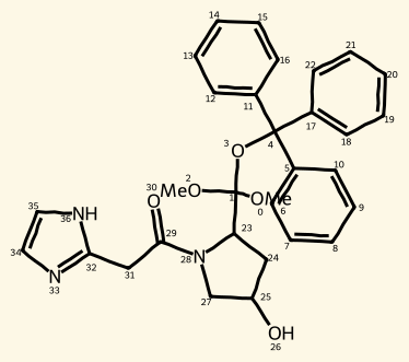 COC(OC)(OC(c1ccccc1)(c1ccccc1)c1ccccc1)C1CC(O)CN1C(=O)Cc1ncc[nH]1